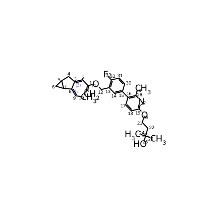 C=C(/C=C1/CC2CC2/C1=C/C)OCc1cc(-c2ccc(OCCC(C)(C)O)nc2C)ccc1F